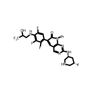 CC(C)n1c(=O)c(-c2cc(F)c(NCC(O)C(F)(F)F)c(F)c2F)cc2cnc(N[C@@H]3CNC[C@@H](F)C3)nc21